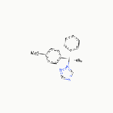 CSc1ccc(C(c2ccccc2)(n2cncn2)C(C)(C)C)cc1